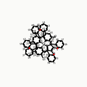 CC1=C(C)C(C)C([Si](c2c(Cc3ccccc3)c(C)cc(C)c2Cc2ccccc2)(c2c(Cc3ccccc3)c(C)cc(C)c2Cc2ccccc2)c2c(Cc3ccccc3)c(C)cc(C)c2Cc2ccccc2)=C1C